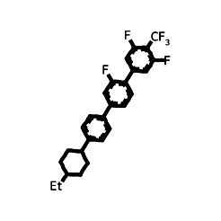 CCC1CCC(c2ccc(-c3ccc(-c4cc(F)c(C(F)(F)F)c(F)c4)c(F)c3)cc2)CC1